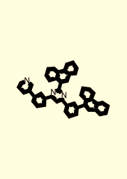 c1cncc(-c2cccc(-c3cc(-c4cccc(-c5cc6ccccc6c6ccccc56)c4)nc(-c4cc5ccccc5c5ccccc45)n3)c2)c1